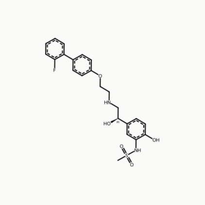 CS(=O)(=O)Nc1cc([C@@H](O)CNCCOc2ccc(-c3ccccc3F)cc2)ccc1O